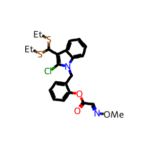 CCSC(SCC)c1c(Cl)n(Cc2ccccc2OC(=O)C=NOC)c2ccccc12